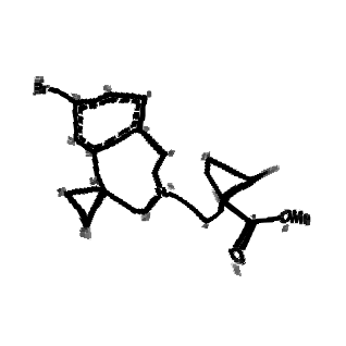 COC(=O)C1(CN2Cc3ccc(Br)cc3C3(CC3)C2)CC1